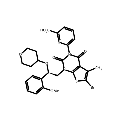 COc1ccccc1[C@H](Cn1c(=O)n(-c2cccc(C(=O)O)n2)c(=O)c2c(C)c(Br)sc21)OC1CCOCC1